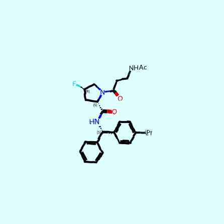 CC(=O)NCCC(=O)N1C[C@H](F)C[C@H]1C(=O)N[C@@H](c1ccccc1)c1ccc(C(C)C)cc1